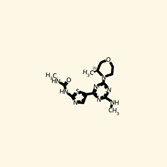 CNC(=O)Nc1ncc(-c2nc(NC)nc(N3CCOC[C@@H]3C)n2)s1